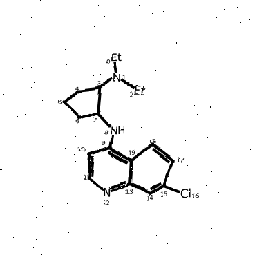 CCN(CC)C1CCCC1Nc1ccnc2cc(Cl)ccc12